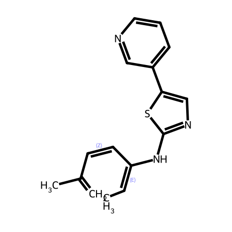 C=C(C)/C=C\C(=C/C)Nc1ncc(-c2cccnc2)s1